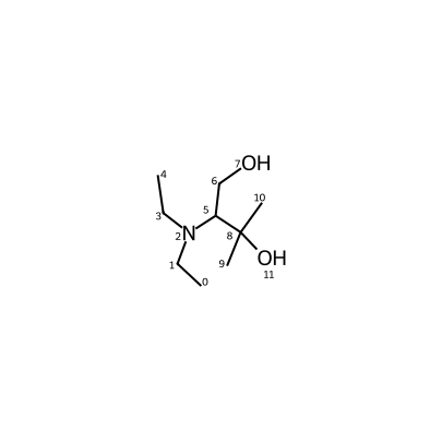 CCN(CC)C(CO)C(C)(C)O